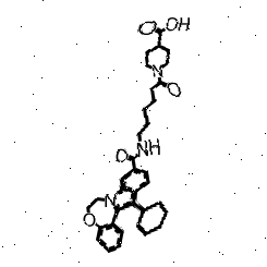 O=C(NCCCCCC(=O)N1CCC(C(=O)O)CC1)c1ccc2c(C3CCCCC3)c3n(c2c1)CCOc1ccccc1-3